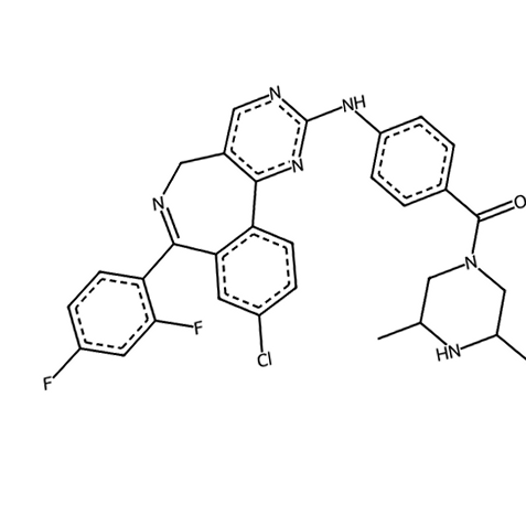 CC1CN(C(=O)c2ccc(Nc3ncc4c(n3)-c3ccc(Cl)cc3C(c3ccc(F)cc3F)=NC4)cc2)CC(C)N1